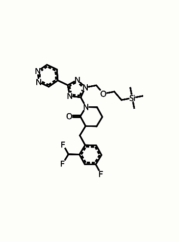 C[Si](C)(C)CCOCn1nc(-c2ccnnc2)nc1N1CCCC(Cc2ccc(F)cc2C(F)F)C1=O